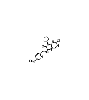 CCSc1ccc(CNc2nc3cnc(Cl)nc3n(C3CCCC3)c2=O)nc1